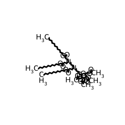 CCCCCCCCCCCCOC(=O)CCN(CCCOC1OC(COC(C)=O)C(OC(C)=O)C(OC(C)=O)C1OC(C)=O)CCCN(CCC(=O)OCCCCCCCCCCCC)CCC(=O)OCCCCCCCCCCCC